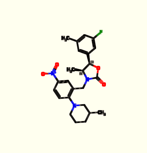 Cc1cc(F)cc([C@H]2OC(=O)N(Cc3cc([N+](=O)[O-])ccc3N3CCCC(C)C3)[C@H]2C)c1